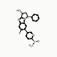 C[S+]([O-])c1ccc(-c2cc3c(cc2F)nc2n3[C@H](c3ccccc3)C[C@@H]2O)cn1